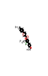 CCCCOc1ccc(-c2ccc(OC(=O)C3CCC(c4ccc(C)cc4)OC3)c(C(F)(F)F)c2F)cc1